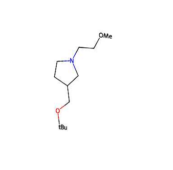 COCCN1CCC(COC(C)(C)C)C1